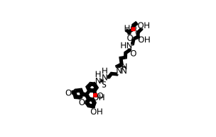 C=CCC(C)OC(CNC(=O)CCCc1cn(CCCNC(=S)Nc2ccc(-c3c4ccc(=O)cc-4oc4cc(O)ccc34)c(C(=O)O)c2)nn1)[C@@H](O)[C@H](O)CO